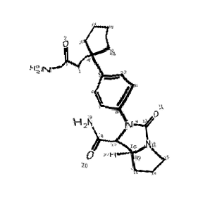 NC(=O)CC1(c2ccc(N3C(=O)N4CC[CH][C@@H]4C3C(N)=O)cc2)CCCC1